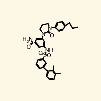 CCCc1ccc(N2CCCN(c3cccc(NS(=O)(=O)c4cccc(-c5cccc(C)c5C)c4)c3)C2=O)cc1.NC=O